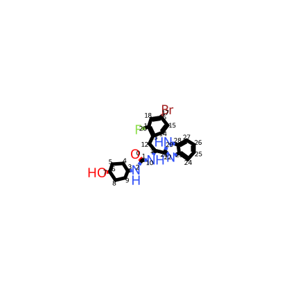 O=C(NC1CCC(O)CC1)NC(Cc1ccc(Br)cc1F)c1nc2ccccc2[nH]1